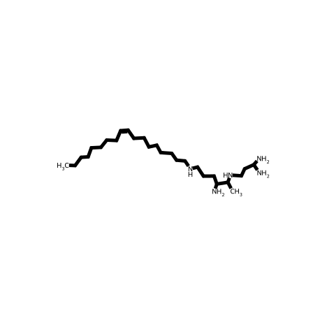 CCCCCCCC/C=C\CCCCCCCCNCCCC(N)C(C)NCCC(N)N